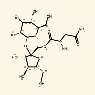 NC(=O)C[C@H](N)C(=O)OC[C@@]1(O[C@H]2O[C@H](CO)[C@@H](O)[C@H](O)[C@H]2O)O[C@H](CO)[C@@H](O)[C@@H]1O